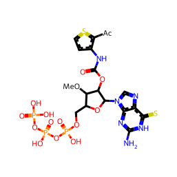 COC1C(COP(=O)(O)OP(=O)(O)OP(=O)(O)O)OC(n2cnc3c(=S)[nH]c(N)nc32)C1OC(=O)Nc1ccsc1C(C)=O